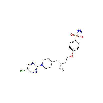 C[C@@H](CCOc1ccc(S(N)(=O)=O)cc1)CC1CCN(c2ncc(Cl)cn2)CC1